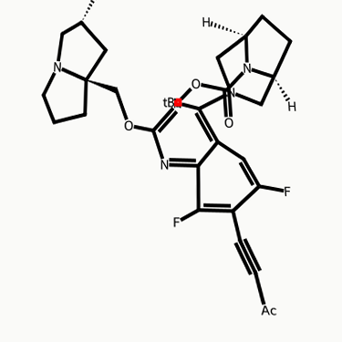 CC(=O)C#Cc1c(F)cc2c(N3C[C@H]4CC[C@@H](C3)N4C(=O)OC(C)(C)C)nc(OC[C@@]34CCCN3C[C@H](F)C4)nc2c1F